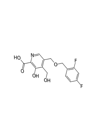 O=C(O)c1ncc(COCc2ccc(F)cc2F)c(CO)c1O